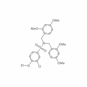 CCOc1ccc(S(=O)(=O)N(Cc2ccc(OC)cc2OC)Cc2ccc(OC)cc2OC)cc1Cl